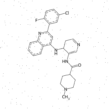 CN1CCC(C(=O)NC2=CN=CCC2Nc2cc(-c3cc(Cl)ccc3F)nc3ccccc23)CC1